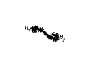 CC(C)C(COC=O)N(C)c1ccnc(NCc2ccc(OCCOCCOCCOc3ccc(CNc4nccc(N5C(=O)OCC5C(C)C)n4)nc3)cn2)n1